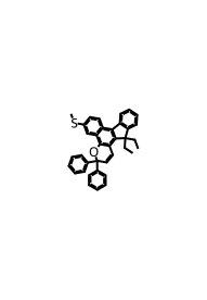 CCC1(CC)c2ccccc2-c2c1c1c(c3cc(SC)ccc23)OC(c2ccccc2)(c2ccccc2)C=C1